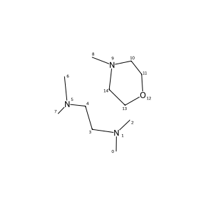 CN(C)CCN(C)C.CN1CCOCC1